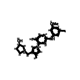 COc1cc(C)cc(Nc2ncc(F)c(-n3cc(C)c(CN4CC[C@@H](O)C4)c3)n2)c1